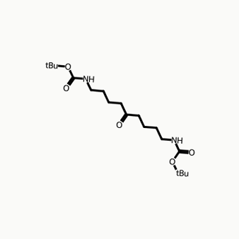 CC(C)(C)OC(=O)NCCCCC(=O)CCCCNC(=O)OC(C)(C)C